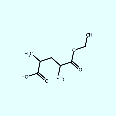 CCOC(=O)C(C)CC(C)C(=O)O